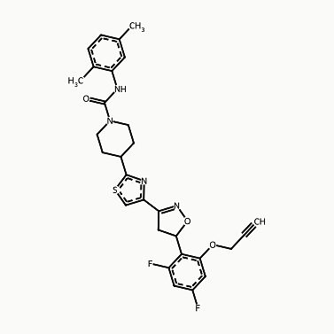 C#CCOc1cc(F)cc(F)c1C1CC(c2csc(C3CCN(C(=O)Nc4cc(C)ccc4C)CC3)n2)=NO1